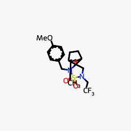 COc1ccc(CN2C3(CN(CC(F)(F)F)S2(=O)=O)C2CCC(C)CC3CC2)cc1